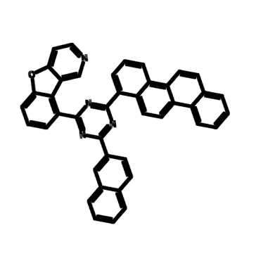 c1ccc2cc(-c3nc(-c4cccc5c4ccc4c6ccccc6ccc54)nc(-c4cccc5oc6ccncc6c45)n3)ccc2c1